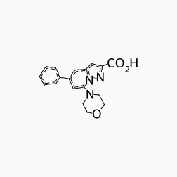 O=C(O)c1cc2cc(-c3ccccc3)cc(N3CCOCC3)n2n1